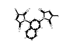 CC1=CC(=O)N(c2cc(N3C(=O)C=C(C)C3=O)c3ccccc3c2)C1=O